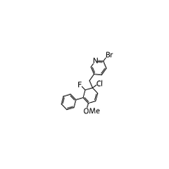 COC1=C(c2ccccc2)C(F)C(Cl)(Cc2ccc(Br)nc2)C=C1